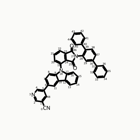 N#Cc1cncc(-c2ccc3c(c2)c2ccccc2n3-c2cccc3c2C(=O)N(c2cc(-c4ccccc4)ccc2-c2ccccc2)C3=O)c1